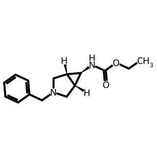 CCOC(=O)N[C@H]1[C@@H]2CN(Cc3ccccc3)C[C@@H]21